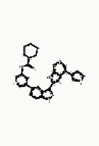 O=C(Nc1cncc(-c2ccc3[nH]nc(-c4nc5c(-c6ccoc6)cncc5[nH]4)c3c2)c1)C1CCCCC1